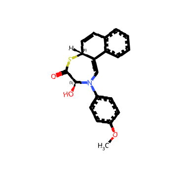 COc1ccc(N2C=C3c4ccccc4C=C[C@H]3SC(=O)[C@@H]2O)cc1